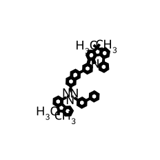 CC1(C)c2ccccc2-c2c(-c3nc(-c4cccc(-c5ccccc5)c4)nc(-c4ccc5ccc(-c6ccc7c(c6)c6ccc8c9c6n7-c6ccccc6-c6cccc(c6-9)C8(C)C)cc5c4)n3)cccc21